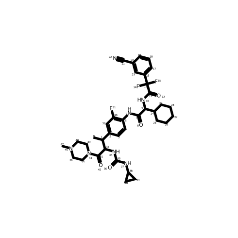 CC(c1ccc(NC(=O)C(NC(=O)C(F)(F)c2cccc(C#N)c2)C2CCCCC2)c(F)c1)C(NC(=O)NC1CC1)C(=O)N1CCN(C)CC1